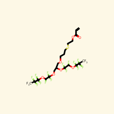 C=CC(=O)OCCSCCCOCC(COC(F)(F)C(F)OC(F)(F)C(F)(F)C(F)(F)F)OC(F)(F)C(F)OC(F)(F)C(F)(F)C(F)(F)F